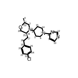 C[C@H]1CN(C2CCN(c3ccncn3)CC2)[C@@H](CCc2ccc(Cl)cc2)CO1